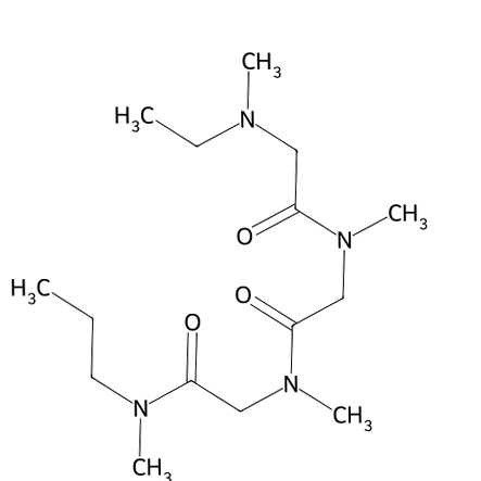 CCCN(C)C(=O)CN(C)C(=O)CN(C)C(=O)CN(C)CC